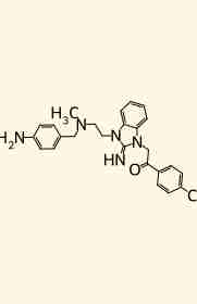 CN(CCn1c(=N)n(CC(=O)c2ccc(Cl)cc2)c2ccccc21)Cc1ccc(N)cc1